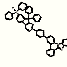 O=P(c1ccccc1)(c1ccccc1)c1ccc2c(c1)C(c1ccccc1)(c1ccccc1)c1cc(-c3ccc(-c4ccc5c(c4)c4ccccc4c4nc6ccccc6n54)cc3)ccc1-2